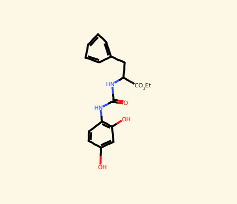 CCOC(=O)C(Cc1ccccc1)NC(=O)Nc1ccc(O)cc1O